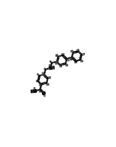 O=C(O)c1ccc(CNCc2ccc(-c3ccccc3)cc2)cc1